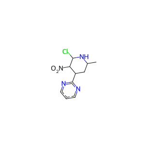 CC1CC(c2ncccn2)C([N+](=O)[O-])C(Cl)N1